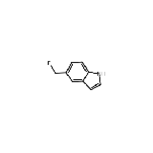 FCc1ccc2[nH]c[c]c2c1